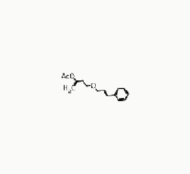 C=C(CCOC/C=C/c1ccccc1)OC(C)=O